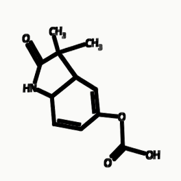 CC1(C)C(=O)NC2C=CC(OC(=O)O)=CC21